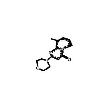 Cc1cccn2c(=O)cc(N3CCOCC3)nc12